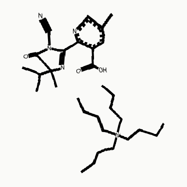 CCCC[N+](CCCC)(CCCC)CCCC.Cc1cnc(C2=NC(C)(C(C)C)C(=O)N2C#N)c(C(=O)O)c1